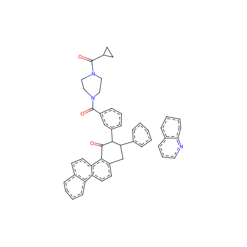 O=C1c2c(ccc3c2ccc2ccccc23)CC(c2ccccc2)C1c1cccc(C(=O)N2CCN(C(=O)C3CC3)CC2)c1.c1ccc2ncccc2c1